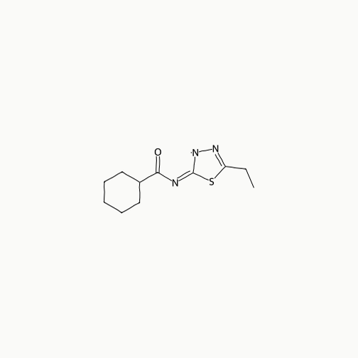 CCC1=N[N]C(=NC(=O)C2CCCCC2)S1